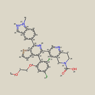 COCCOc1cc(F)cc(F)c1-c1c(-c2cnc3c(c2)CN(C(=O)O)CC3)nc(-c2ccc3c(cnn3C)c2)c2sccc12